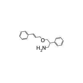 NCC(COCC=Cc1ccccc1)c1ccccc1